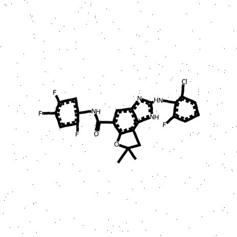 CC1(C)Cc2c(c(C(=O)Nc3cc(F)c(F)cc3F)cc3nc(Nc4c(F)cccc4Cl)[nH]c23)O1